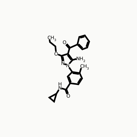 CCCOc1nn(-c2cc(C(=O)NC3CC3)ccc2C)c(N)c1C(=O)c1ccccc1